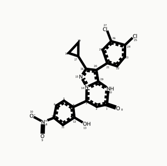 O=c1cc(-c2ccc([N+](=O)[O-])cc2O)n2nc(C3CC3)c(-c3ccc(Cl)c(Cl)c3)c2[nH]1